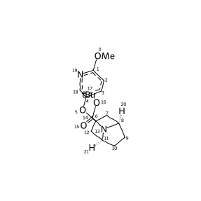 COc1ccc(OC2C[C@H]3CC[C@@H](C2)N3C(=O)OC(C)(C)C)cn1